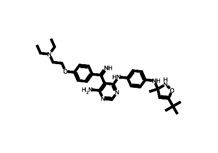 CCN(CC)CCOc1ccc(C(=N)c2c(N)ncnc2Nc2ccc(NC3(C)C=C(C(C)(C)C)ON3)cc2)cc1